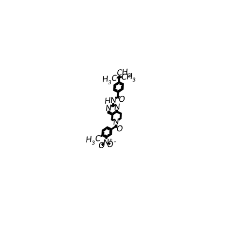 Cc1ccc(C(=O)N2CCc3nc(NC(=O)c4ccc(C(C)(C)C)cc4)ncc3C2)cc1[N+](=O)[O-]